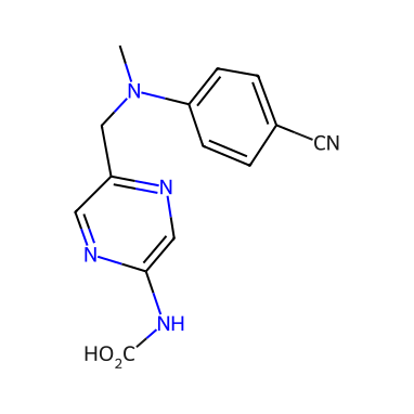 CN(Cc1cnc(NC(=O)O)cn1)c1ccc(C#N)cc1